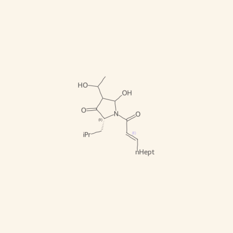 CCCCCCC/C=C/C(=O)N1C(O)C(C(C)O)C(=O)[C@H]1CC(C)C